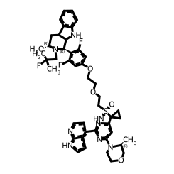 C[C@@H]1COCCN1c1cc(C2(S(=N)(=O)CCOCCOc3cc(F)c([C@@H]4C5Nc6ccccc6C5C[C@@H](C)N4CC(C)(C)F)c(F)c3)CC2)nc(-c2ccnc3[nH]ccc23)n1